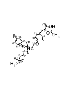 CCOC(Cc1ccc(OCCN(CCCCC(C)(F)F)C(=O)Oc2ccc(F)cc2)cc1)C(=O)O